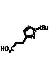 CC(C)(C)n1ccc(CCC(=O)O)n1